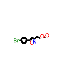 O=COCCc1cc(-c2ccc(Br)cc2)on1